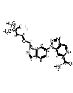 CC(=O)c1cc2c(cn1)nnn2-c1ccc2cnn(COCC[Si](C)(C)C)c2c1